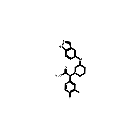 COC(=O)C(c1ccc(F)c(F)c1)N1CCCC(Nc2ccc3[nH]ncc3c2)C1